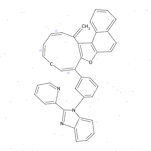 C=C1/C=C\C=C/C/C=C(/c2cccc(-n3c(-c4ccccn4)nc4ccccc43)c2)c2oc3ccc4ccccc4c3c21